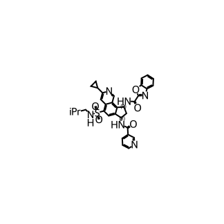 CC(C)CNS(=O)(=O)c1cc2c(c3cnc(C4CC4)cc13)[C@H](NC(=O)c1nc3ccccc3o1)C[C@H]2NC(=O)c1cccnc1